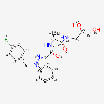 CC(C)(C)[C@H](NC(=O)c1nn(Cc2ccc(F)cc2)c2ccccc12)C(=O)NC[C@@H](O)CO